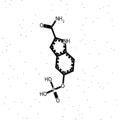 NC(=O)c1cc2cc(OP(=O)(O)O)ccc2[nH]1